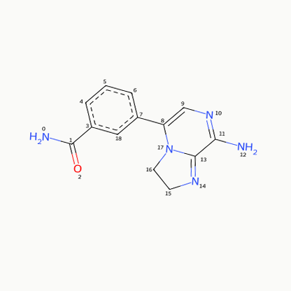 NC(=O)c1cccc(C2=CN=C(N)C3=NCCN23)c1